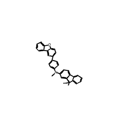 CN(c1ccc(-c2ccc3oc4ccccc4c3c2)cc1)c1ccc2c(c1)C(C)(C)c1ccccc1-2